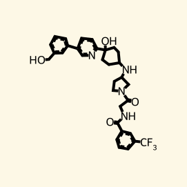 O=C(NCC(=O)N1CCC(NC2CCC(O)(c3ccc(-c4cccc(CO)c4)cn3)CC2)C1)c1cccc(C(F)(F)F)c1